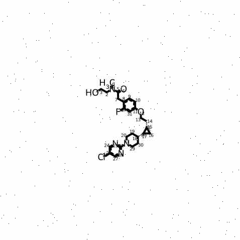 CN(CCO)C(=O)Cc1ccc(OCC[C@@H]2C[C@@H]2C2CCN(c3ncc(Cl)cn3)CC2)cc1F